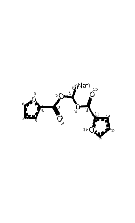 CCCCCCCCCC(OC(=O)c1ccco1)OC(=O)c1ccco1